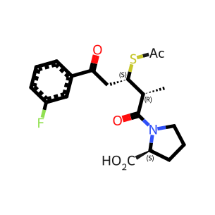 CC(=O)S[C@@H](CC(=O)c1cccc(F)c1)[C@H](C)C(=O)N1CCC[C@H]1C(=O)O